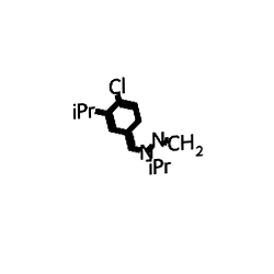 C=NN(/C=C1/C=C(C(C)C)C(Cl)=CC1)C(C)C